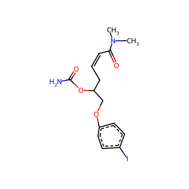 CN(C)C(=O)/C=C\CC(COc1ccc(I)cc1)OC(N)=O